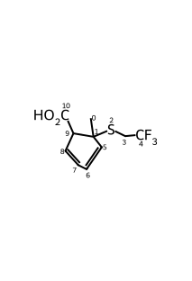 CC1(SCC(F)(F)F)C=CC=CC1C(=O)O